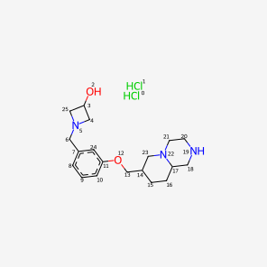 Cl.Cl.OC1CN(Cc2cccc(OCC3CCC4CNCCN4C3)c2)C1